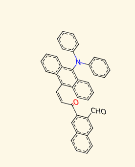 O=Cc1cc2ccccc2cc1C(=O)/C=C\c1c2ccccc2c(N(c2ccccc2)c2ccccc2)c2ccccc12